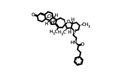 CC1=C2C[C@H]3[C@@H](CCC4=CC(=O)CC[C@@]43C)[C@@H]2CC[C@@]2(C1)O[C@@H]1C[C@H](C)CN(CCNC(=O)CCc3ccccc3)[C@H]1[C@H]2C